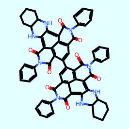 O=C1c2cc(-c3cc4c5c(c6c(c7c5c3C(=O)N(c3ccccc3)C7=O)NC3CCCCC3N6)C(=O)N(c3ccccc3)C4=O)c3c4c(c5c(c(c24)C(=O)N1c1ccccc1)NC1CCCCC1N5)C(=O)N(c1ccccc1)C3=O